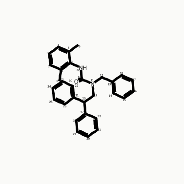 Cc1cccc(C)c1NC(=O)N(Cc1ccccc1)CC(c1ccccc1)c1ccccc1